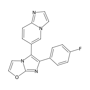 Fc1ccc(-c2nc3occn3c2-c2ccc3nccn3c2)cc1